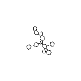 c1ccc(-c2ccc(N(c3cc(-c4ccccc4)c4c(c3)oc3ccccc34)c3ccc4ccc5c6ccccc6ccc5c4c3)cc2)cc1